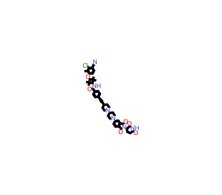 Cc1c(O[C@H]2C(C)(C)[C@H](NC(=O)c3ccc(C#CC4CCN(C5CCN(c6ccc7c(c6)C(=O)N(C6CCC(=O)NC6=O)C7=O)CC5)CC4)cc3)C2(C)C)ccc(C#N)c1Cl